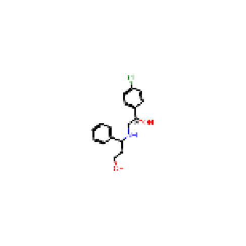 OCCC(NC[C@H](O)c1ccc(Cl)cc1)c1ccccc1